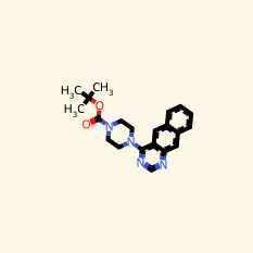 CC(C)(C)OC(=O)N1CCN(c2ncnc3cc4ccccc4cc23)CC1